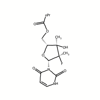 CCCC(=O)OC[C@H]1O[C@@H](n2c(=O)cc[nH]c2=O)[C@](C)(F)[C@]1(C)O